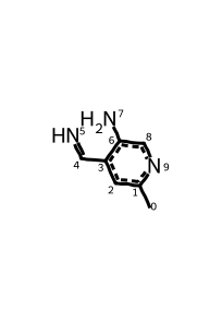 Cc1cc(C=N)c(N)cn1